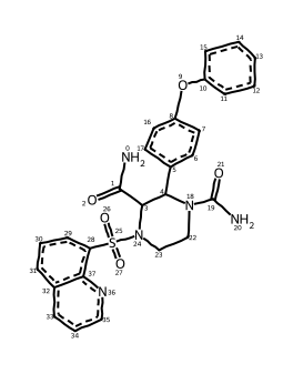 NC(=O)C1C(c2ccc(Oc3ccccc3)cc2)N(C(N)=O)CCN1S(=O)(=O)c1cccc2cccnc12